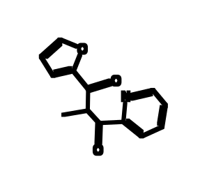 CC(C(=O)c1ccccn1)C(=O)c1ccco1